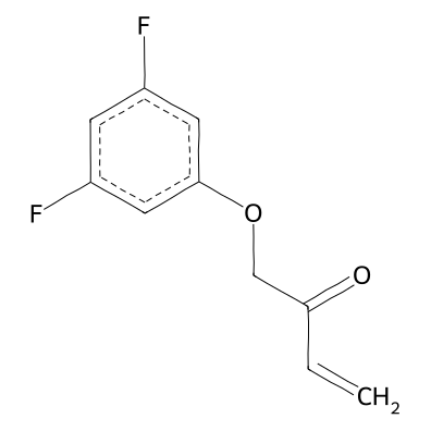 C=CC(=O)COc1cc(F)cc(F)c1